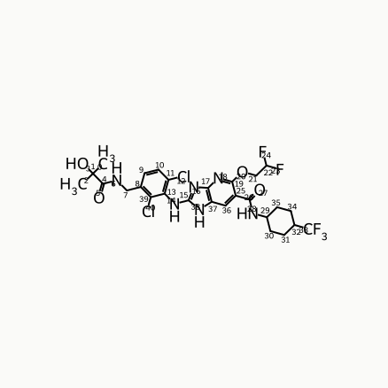 CC(C)(O)C(=O)NCc1ccc(Cl)c(Nc2nc3nc(OCC(F)F)c(C(=O)NC4CCC(C(F)(F)F)CC4)cc3[nH]2)c1Cl